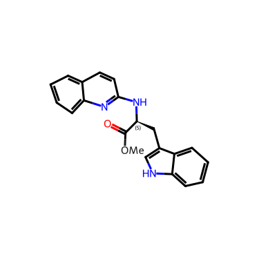 COC(=O)[C@H](Cc1c[nH]c2ccccc12)Nc1ccc2ccccc2n1